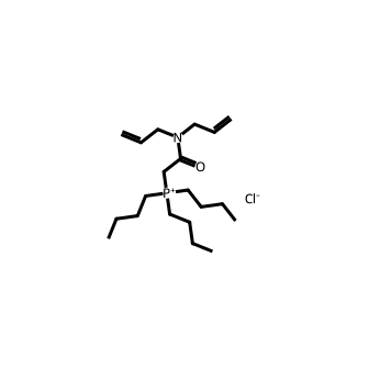 C=CCN(CC=C)C(=O)C[P+](CCCC)(CCCC)CCCC.[Cl-]